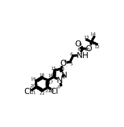 Cn1nc(OCCNC(=O)OC(C)(C)C)cc1-c1ccc(Cl)cc1Cl